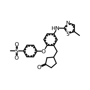 Cc1cnc(Nc2ccc(Oc3ccc(S(C)(=O)=O)cc3)c(CC3CCC(=O)C3)c2)s1